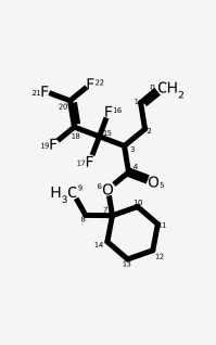 C=CCC(C(=O)OC1(CC)CCCCC1)C(F)(F)C(F)=C(F)F